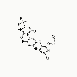 CC(=O)OOc1nc(Cl)ccc1Oc1cc(-n2c(=O)cc(C(F)(F)F)n(C)c2=O)c(F)cc1N